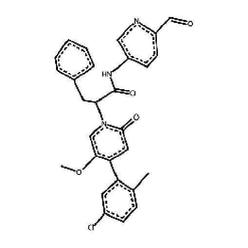 COc1cn(C(Cc2ccccc2)C(=O)Nc2ccc(C=O)nc2)c(=O)cc1-c1cc(Cl)ccc1C